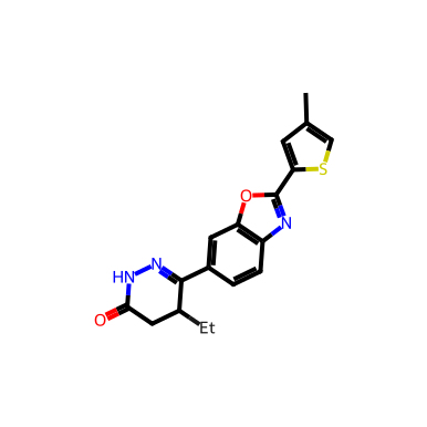 CCC1CC(=O)NN=C1c1ccc2nc(-c3cc(C)cs3)oc2c1